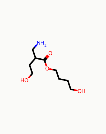 NCC(CCO)C(=O)OCCCCO